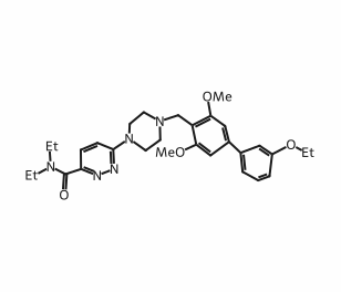 CCOc1cccc(-c2cc(OC)c(CN3CCN(c4ccc(C(=O)N(CC)CC)nn4)CC3)c(OC)c2)c1